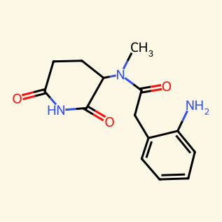 CN(C(=O)Cc1ccccc1N)C1CCC(=O)NC1=O